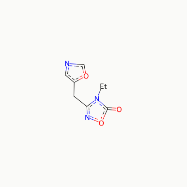 CCn1c(Cc2cnco2)noc1=O